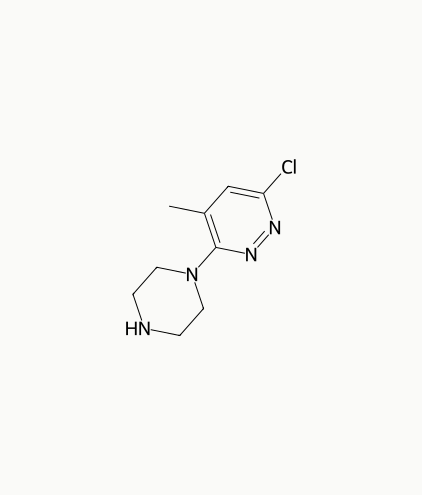 Cc1cc(Cl)nnc1N1CCNCC1